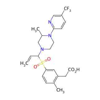 C=CC(N1CCN(c2ccc(C(F)(F)F)cn2)C(C)C1)S(=O)(=O)c1ccc(C)c(CC(=O)O)c1